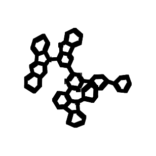 c1ccc(-c2ccc(-c3nc(-c4cc(-n5c6ccccc6c6cc7ccccc7cc65)c5oc6ccccc6c5c4)nc(-c4cccc5c6ccccc6n(-c6ccccc6)c45)n3)cc2)cc1